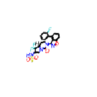 CS(=O)(=O)N[C@@H]1CN2C(=O)N(c3noc4cccc(-c5ccccc5F)c34)CC[C@@H]2C1(F)F